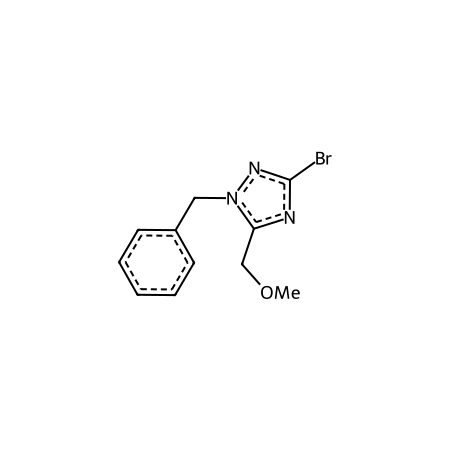 COCc1nc(Br)nn1Cc1ccccc1